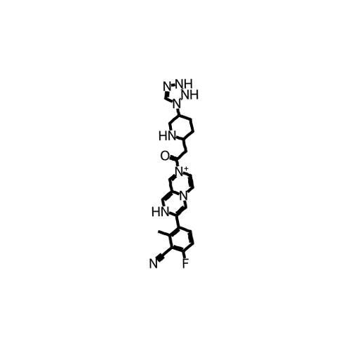 Cc1c(C2=CN3C=C[N+](C(=O)CC4CCC(N5C=NNN5)CN4)=CC3=CN2)ccc(F)c1C#N